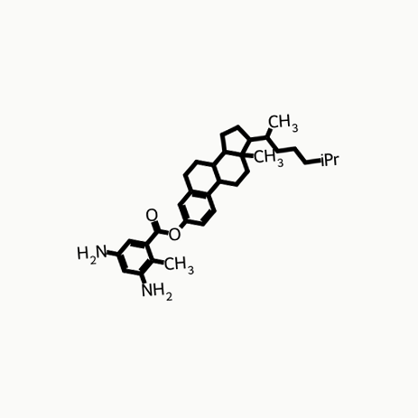 Cc1c(N)cc(N)cc1C(=O)Oc1ccc2c(c1)CCC1C2CCC2(C)C(C(C)CCCC(C)C)CCC12